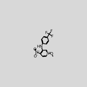 CO[n+]1ccc([N+](=O)[O-])c(Nc2ccc(C(F)(F)F)cc2)c1